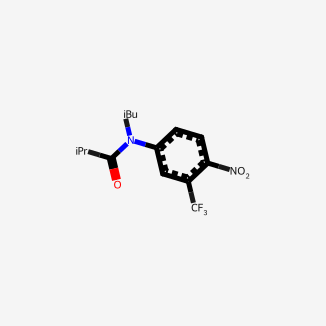 CCC(C)N(C(=O)C(C)C)c1ccc([N+](=O)[O-])c(C(F)(F)F)c1